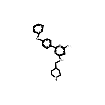 Nc1cc(NCC2CCNCC2)nc(-c2ccc(Oc3ccccc3)cc2)n1